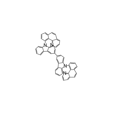 c1cnc2c(c1)ccc1cccc(-n3c4ccccc4c4cc(-c5ccc6c(c5)c5ccccc5n6-c5cccc6ccc7cccnc7c56)ccc43)c12